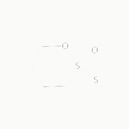 O=S1(=S)CCCCO1